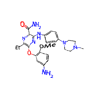 CCc1nc(C(N)=O)c(Nc2ccc(N3CCN(C)CC3)cc2)nc1Oc1cc(N)ccc1OC